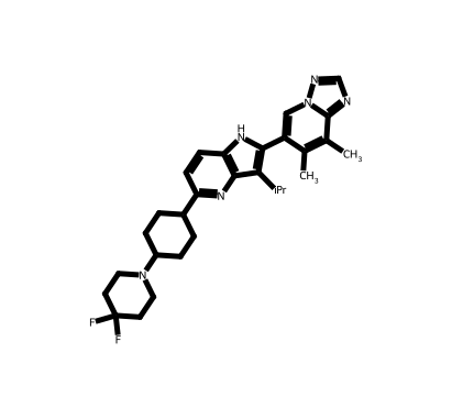 Cc1c(-c2[nH]c3ccc(C4CCC(N5CCC(F)(F)CC5)CC4)nc3c2C(C)C)cn2ncnc2c1C